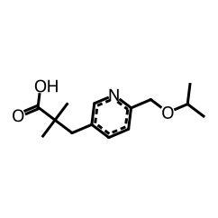 CC(C)OCc1ccc(CC(C)(C)C(=O)O)cn1